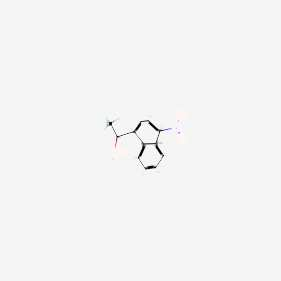 O=[N+]([O-])c1ccc(C(O)C(F)(F)F)c2ccccc12